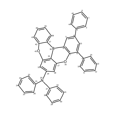 c1ccc(-c2cc3c(c(-c4ccccc4)c2)Oc2cc(N(c4ccccc4)c4ccccc4)cc4c2B3c2ccccc2O4)cc1